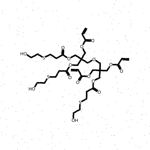 C=CC(=O)OCC(COCC(COC(=O)C=C)(COC(=O)CCSCCO)COC(=O)CCSCCO)(COC(=O)C=C)COC(=O)CCSCCO